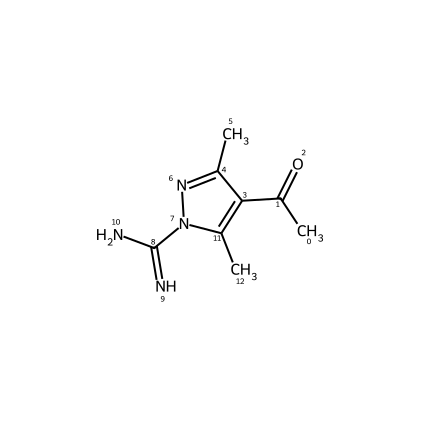 CC(=O)c1c(C)nn(C(=N)N)c1C